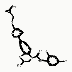 CCC1CN(C(=O)Nc2ccc(Cl)cc2F)c2ccc(-c3ccc(OCC4CC4C(C)=O)nc3)cc2O1